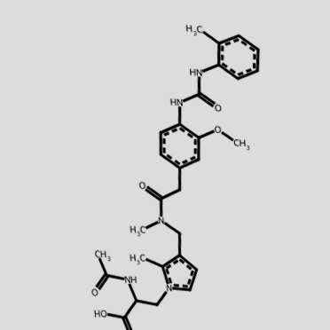 COc1cc(CC(=O)N(C)Cc2ccn(CC(NC(C)=O)C(=O)O)c2C)ccc1NC(=O)Nc1ccccc1C